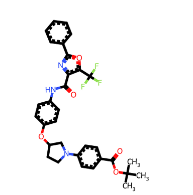 CC(C)(C)OC(=O)c1ccc(N2CCC(Oc3ccc(NC(=O)c4nc(-c5ccccc5)oc4C(F)(F)F)cc3)C2)cc1